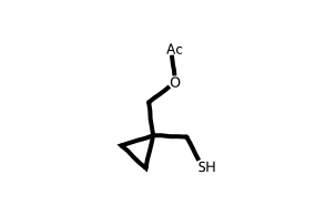 CC(=O)OCC1(CS)CC1